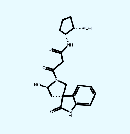 N#C[C@@H]1C[C@@]2(CN1C(=O)CC(=O)N[C@@H]1CCC[C@@H]1O)C(=O)Nc1ccccc12